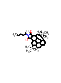 CCCCC(C)n1c(=O)c2c3cc([Si](C)(C)C)c4ccc5ccc6c([Si](C)(C)C)cc(c2c1=O)c1c6c5c4c31